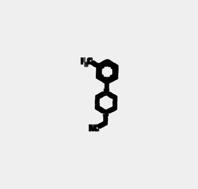 N#CCN1CCN(c2cccc(C(F)(F)F)c2)CC1